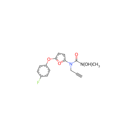 C#CCN(C(=O)N(C)O)c1ccc(Oc2ccc(F)cc2)o1